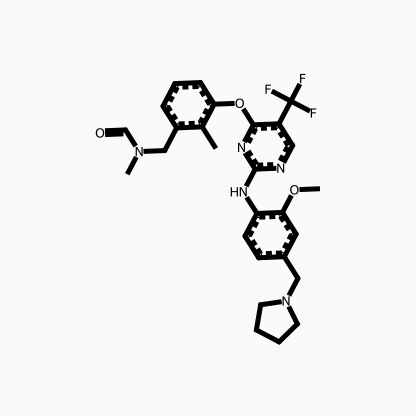 COc1cc(CN2CCCC2)ccc1Nc1ncc(C(F)(F)F)c(Oc2cccc(CN(C)C=O)c2C)n1